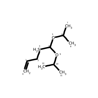 C=CC[SiH2]C(OC(C)C)OC(C)C